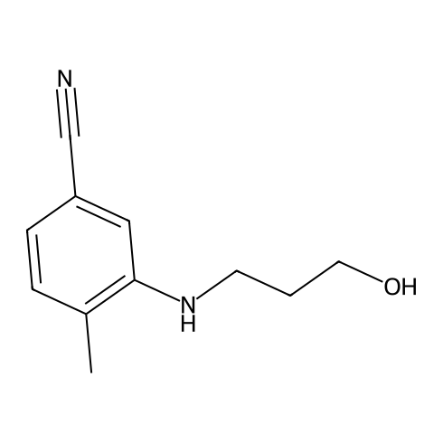 Cc1ccc(C#N)cc1NCCCO